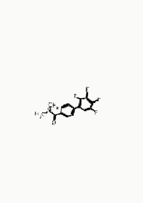 CN(C)C(=O)c1ccc(-c2cc(F)c(F)c(F)c2F)cc1